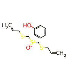 C=CCSC[S+]([O-])CSCC=C.Oc1ccccc1